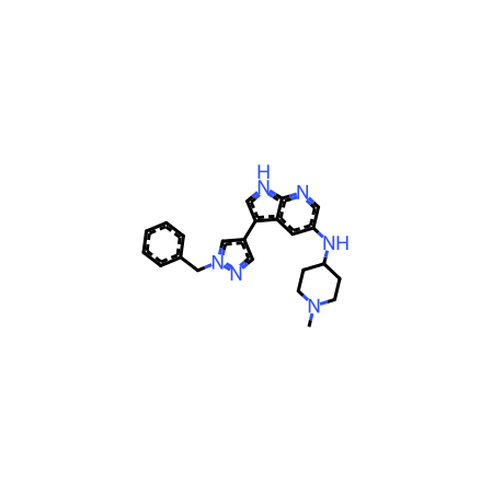 CN1CCC(Nc2cnc3[nH]cc(-c4cnn(Cc5ccccc5)c4)c3c2)CC1